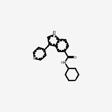 O=C(NC1CCCCC1)c1ccc2[nH]cc(-c3ccncc3)c2c1